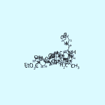 C=C(C)[C@@H]1CC[C@]2(NCCN3CCS(=O)(=O)CC3)CC[C@]3(C)[C@H](CC[C@@H]4[C@@]5(C)CC=C(C6=CC[C@](CO)(C(=O)OCC)CC6)C(C)(C)[C@@H]5CC[C@]43C)[C@@H]12